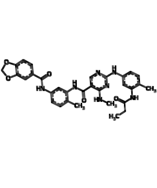 CCC(=O)Nc1cc(Nc2ncc(C(=O)Nc3cc(NC(=O)c4ccc5c(c4)OCO5)ccc3C)c(NC)n2)ccc1C